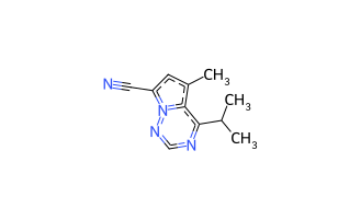 Cc1cc(C#N)n2ncnc(C(C)C)c12